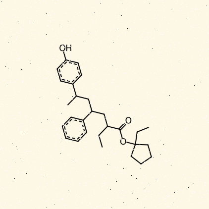 CCC(CC(CC(C)c1ccc(O)cc1)c1ccccc1)C(=O)OC1(CC)CCCC1